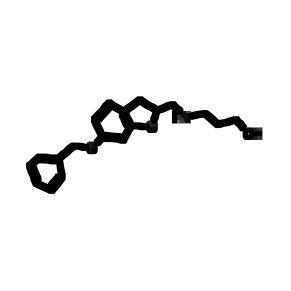 OCCCNCC1Cc2ccc(OCc3ccccc3)cc2O1